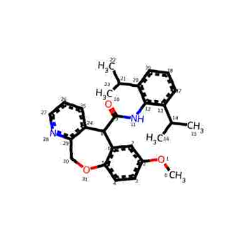 COc1ccc2c(c1)C(C(=O)Nc1c(C(C)C)cccc1C(C)C)c1cccnc1CO2